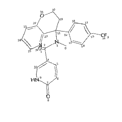 CN(C(=O)c1ccc(=O)[nH]c1)C1(c2ccc(C(F)(F)F)cc2)CCOc2cccnc21